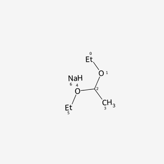 CCOC(C)OCC.[NaH]